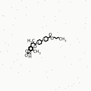 CCCCOC(=O)C1CCN(C2CCN(C(=O)[C@H](C)Cc3cc(C)c4[nH]c(=O)oc4c3)CC2)CC1